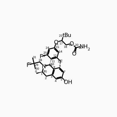 C[C@@H]1Cc2cc(O)ccc2[C@@H](c2c(F)cc(OC(COC(N)=O)C(C)(C)C)cc2F)N1CC(C)(C)F